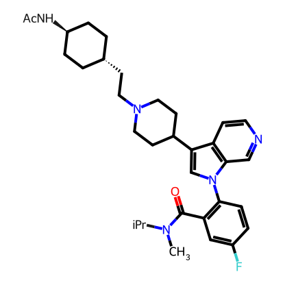 CC(=O)N[C@H]1CC[C@H](CCN2CCC(c3cn(-c4ccc(F)cc4C(=O)N(C)C(C)C)c4cnccc34)CC2)CC1